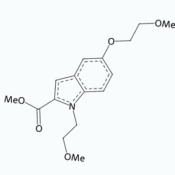 COCCOc1ccc2c(c1)cc(C(=O)OC)n2CCOC